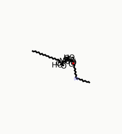 CCCCCCCC/C=C\CCCCCCCC(=O)O[C@H](CO)COP(=O)(O)OC[C@H](NC(=O)CCCCCCCCCCCCCCCCC)C(=O)O